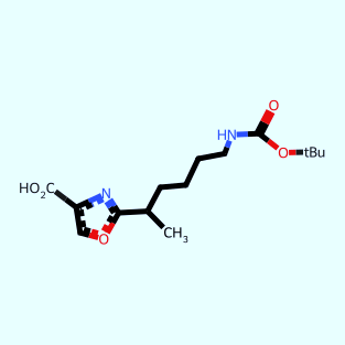 CC(CCCCNC(=O)OC(C)(C)C)c1nc(C(=O)O)co1